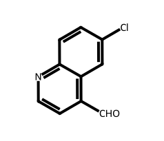 O=Cc1ccnc2ccc(Cl)cc12